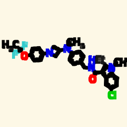 CCc1c(C(=O)NCc2ccc(N(C)C3CN(c4ccc(OC(C)(F)F)cc4)C3)cc2)c2cc(Cl)ccc2n1C